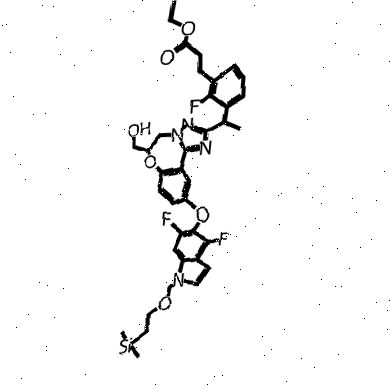 CCOC(=O)CCc1cccc(C(C)c2nc3n(n2)CC(CO)Oc2ccc(Oc4c(F)cc5c(ccn5COCC[Si](C)(C)C)c4F)cc2-3)c1F